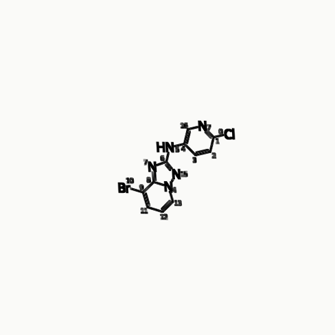 Clc1ccc(Nc2nc3c(Br)cccn3n2)cn1